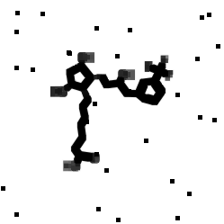 O=C(O)CCCCCC[C@@H]1[C@@H](CCC(O)Cc2cccc(C(F)(F)F)c2)[C@H](O)C[C@@H]1O